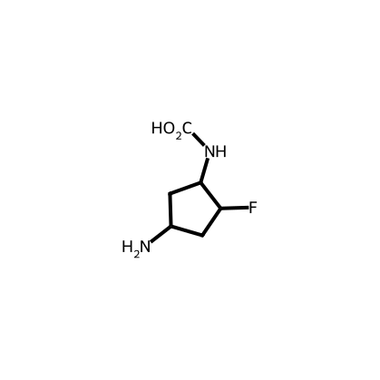 NC1CC(F)C(NC(=O)O)C1